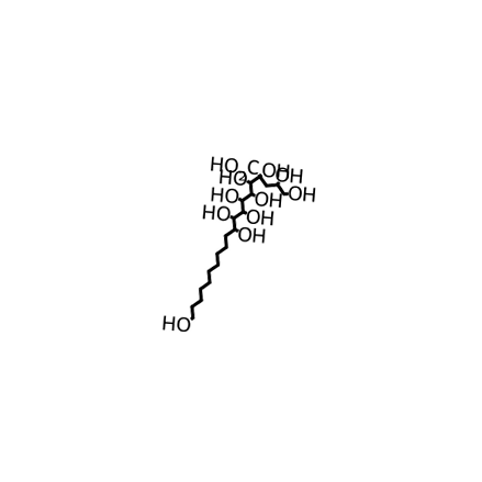 O=C(O)C(O)(CC(O)CO)C(O)C(O)C(O)C(O)C(O)C(O)CCCCCCCCCCO